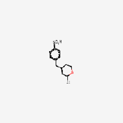 CCC1CC(Cc2ccc(S(=O)(=O)O)cc2)CCO1